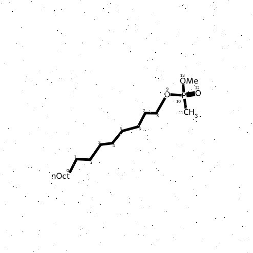 CCCCCCCCCCCCCCCCOP(C)(=O)OC